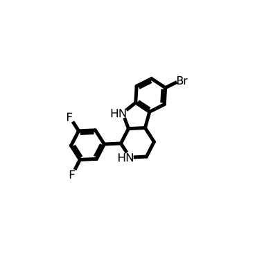 Fc1cc(F)cc(C2NCCC3c4cc(Br)ccc4NC32)c1